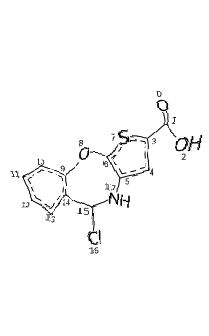 O=C(O)c1cc2c(s1)Oc1ccccc1C(Cl)N2